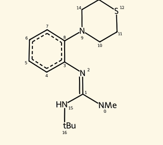 CNC(=Nc1ccccc1N1CCSCC1)NC(C)(C)C